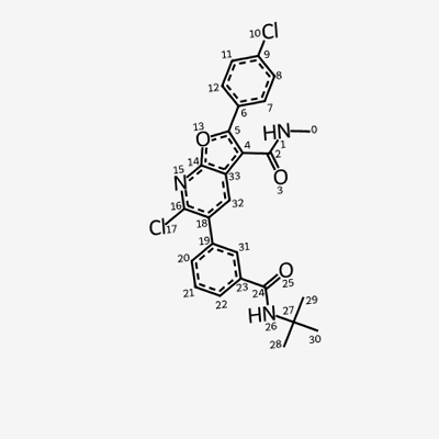 CNC(=O)c1c(-c2ccc(Cl)cc2)oc2nc(Cl)c(-c3cccc(C(=O)NC(C)(C)C)c3)cc12